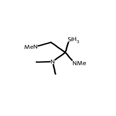 CNCC([SiH3])(NC)N(C)C